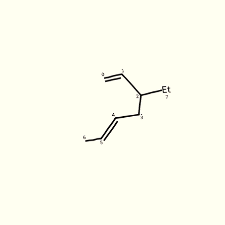 C=CC([CH]C=CC)CC